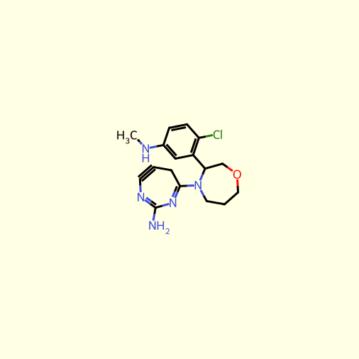 CNc1ccc(Cl)c(C2COCCCN2C2=NC(N)=NC#CC2)c1